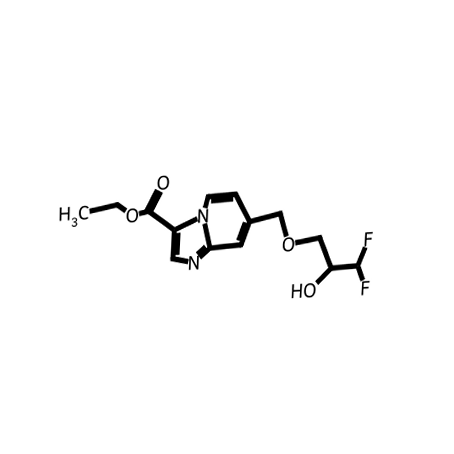 CCOC(=O)c1cnc2cc(COCC(O)C(F)F)ccn12